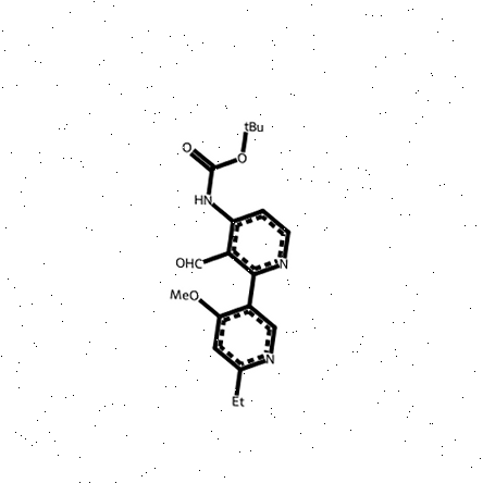 CCc1cc(OC)c(-c2nccc(NC(=O)OC(C)(C)C)c2C=O)cn1